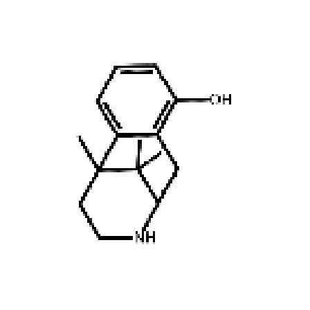 CC12CCNC(Cc3c(O)cccc31)C2(C)C